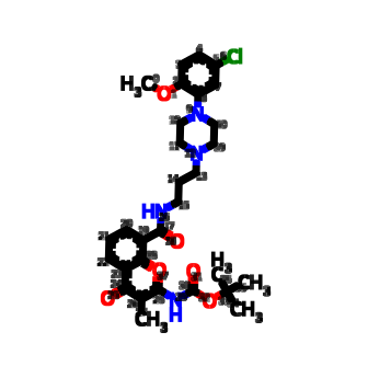 COc1ccc(Cl)cc1N1CCN(CCCNC(=O)c2cccc3c(=O)c(C)c(NC(=O)OC(C)(C)C)oc23)CC1